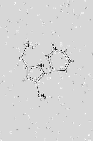 CCc1nc(C)c[nH]1.c1ccncc1